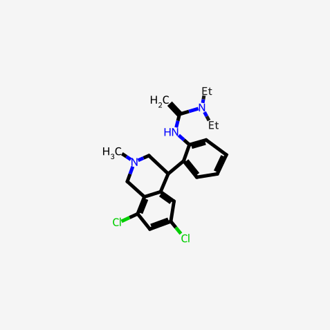 C=C(Nc1ccccc1C1CN(C)Cc2c(Cl)cc(Cl)cc21)N(CC)CC